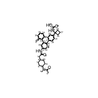 CC(=O)N(C)C1CCC(CC(=O)Nc2cnc(-c3ccc(C4(NC(=O)O)CCC4)cc3)c(-c3ccccc3F)c2)CC1